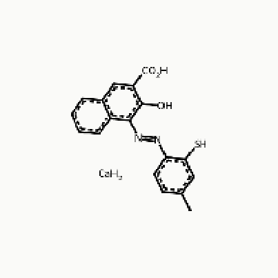 Cc1ccc(N=Nc2c(O)c(C(=O)O)cc3ccccc23)c(S)c1.[CaH2]